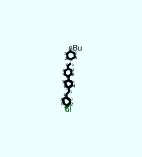 CCCC[C@H]1CC[C@H](CCC2CCC(c3ccc(CCc4ccc(Cl)cc4)cc3)CC2)CC1